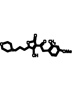 COc1ccc(CC(=O)C2=C(O)C(CCCN3CCOCC3)OC2=O)c(C)c1